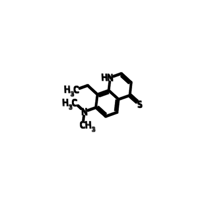 CCc1c(N(C)C)ccc2c(=S)cc[nH]c12